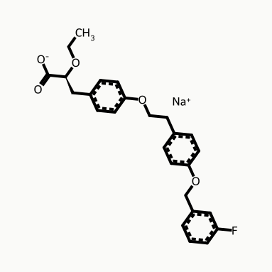 CCO[C@@H](Cc1ccc(OCCc2ccc(OCc3cccc(F)c3)cc2)cc1)C(=O)[O-].[Na+]